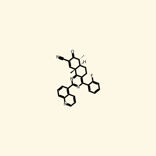 C[C@H]1C(=O)C(C#N)=C[C@@]2(C)c3nc(-c4cccc5ncccc45)nc(-c4ccccc4F)c3CC[C@H]12